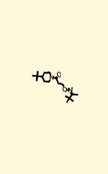 C/C(=N/OCCC(=O)N1CCC(C(C)(C)C)CC1)C(C)(C)C